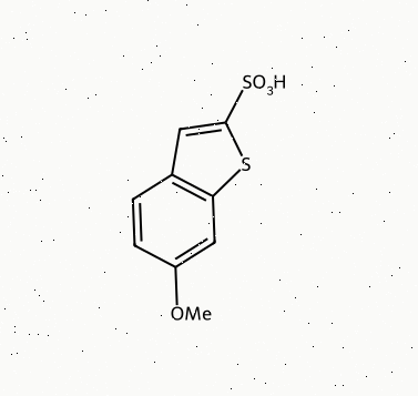 COc1ccc2cc(S(=O)(=O)O)sc2c1